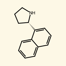 c1ccc2c([C@@H]3CCCN3)cccc2c1